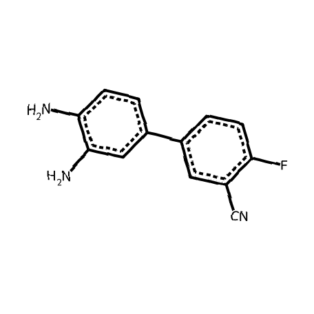 N#Cc1cc(-c2ccc(N)c(N)c2)ccc1F